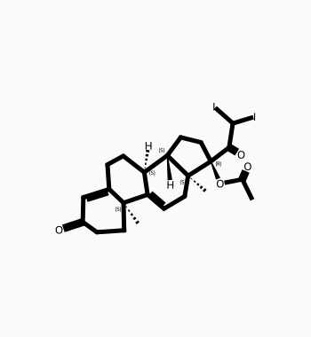 CC(=O)O[C@]1(C(=O)C(I)I)CC[C@H]2[C@@H]3CCC4=CC(=O)CC[C@]4(C)C3=CC[C@@]21C